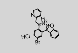 Cl.N[C@@H](Cc1ccccn1)c1ccc(Br)cc1-c1noc2ccccc12